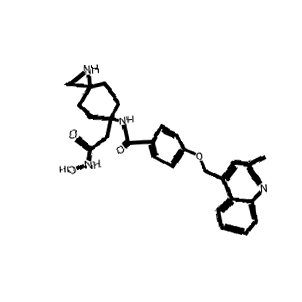 Cc1cc(COc2ccc(C(=O)NC3(CC(=O)NO)CCC4(CC3)CN4)cc2)c2ccccc2n1